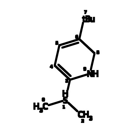 C[SH](C)C1=CC=C(C(C)(C)C)CN1